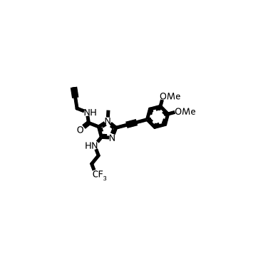 C#CCNC(=O)c1c(NCCC(F)(F)F)nc(C#Cc2ccc(OC)c(OC)c2)n1C